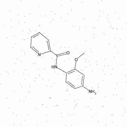 COc1cc(N)ccc1NC(=O)c1ccccn1